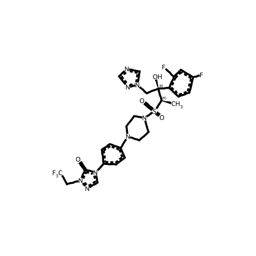 C[C@H]([C@](O)(Cn1cncn1)c1ccc(F)cc1F)S(=O)(=O)N1CCN(c2ccc(-n3cnn(CC(F)(F)F)c3=O)cc2)CC1